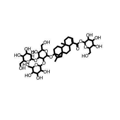 CC1=CC23CCC4C(C(=O)OC5OC(CO)C(O)C(O)C5O)=CCCC4(C)C2CCC1(OC1OC(CO)C(O)C(OC2OC(CO)C(O)C(O)C2O)C1OC1OC(CO)C(O)C(O)C1O)C3